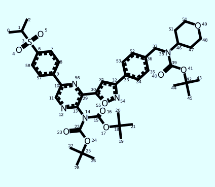 CC(C)S(=O)(=O)c1ccc(-c2cnc(N(C(=O)OC(C)(C)C)C(=O)OC(C)(C)C)c(-c3cc(-c4ccc(CN(C(=O)OC(C)(C)C)C5CCOCC5)cc4)no3)n2)cc1